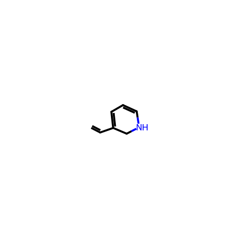 C=CC1=CC=CNC1